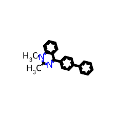 C[C@@H]1N=C(c2ccc(-c3ccccc3)cc2)c2ccccc2N1C